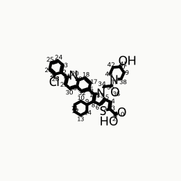 O=C(O)c1cc2c(s1)c(C1CCCCC1)c(-c1ccc3nc(-c4ccccc4Cl)ccc3c1)n2CC(=O)N1CCC(O)CC1